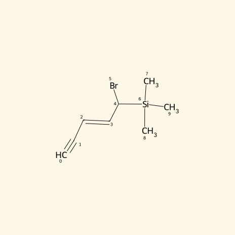 C#C/C=C/C(Br)[Si](C)(C)C